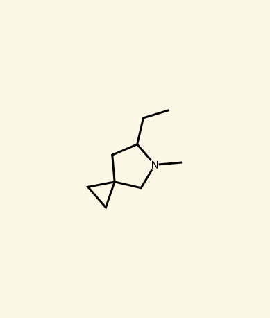 CCC1CC2(CC2)CN1C